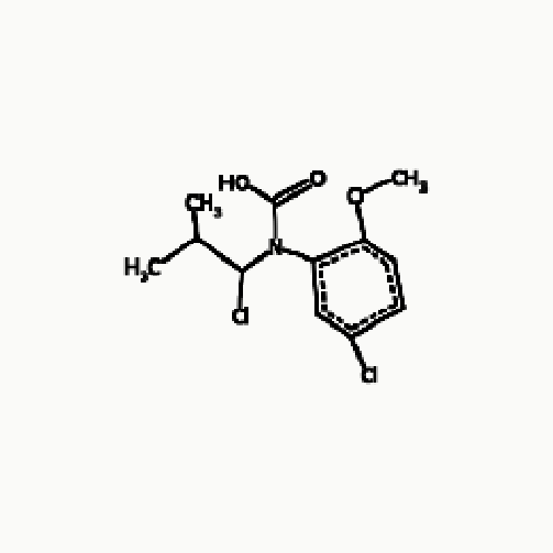 COc1ccc(Cl)cc1N(C(=O)O)C(Cl)C(C)C